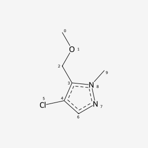 COCc1c(Cl)cnn1C